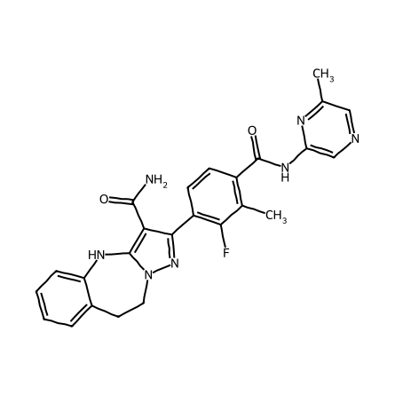 Cc1cncc(NC(=O)c2ccc(-c3nn4c(c3C(N)=O)Nc3ccccc3CC4)c(F)c2C)n1